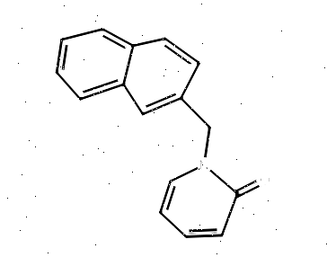 O=c1ccccn1Cc1ccc2ccccc2c1